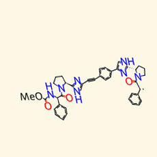 COC(=O)N[C@@H](C(=O)N1CCC[C@H]1c1nc(C#Cc2ccc(-c3c[nH]c([C@@H]4CCCN4C(=O)[CH]c4ccccc4)n3)cc2)c[nH]1)c1ccccc1